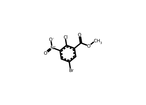 COC(=O)c1cc(Br)cc([N+](=O)[O-])c1Cl